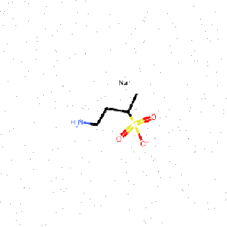 CC(CCN)S(=O)(=O)[O-].[Na+]